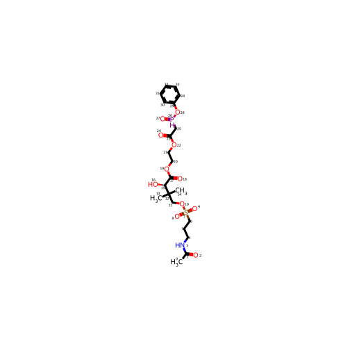 CC(=O)NCCCS(=O)(=O)OCC(C)(C)[C@@H](O)C(=O)OCCOC(=O)C[PH](=O)Oc1ccccc1